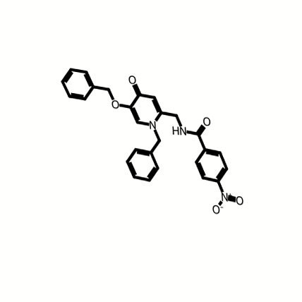 O=C(NCc1cc(=O)c(OCc2ccccc2)cn1Cc1ccccc1)c1ccc([N+](=O)[O-])cc1